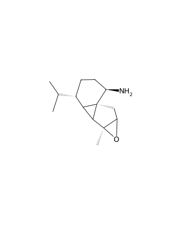 CC(C)[C@@H]1CC[C@@H](N)[C@@]23CC4O[C@@]4(C)C2C13